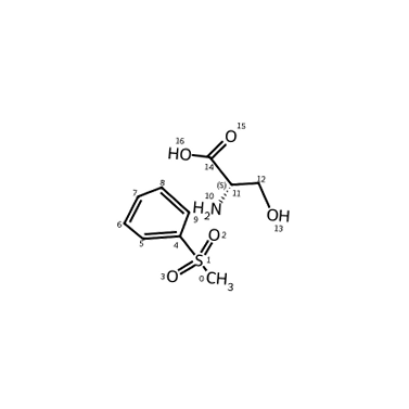 CS(=O)(=O)c1ccccc1.N[C@@H](CO)C(=O)O